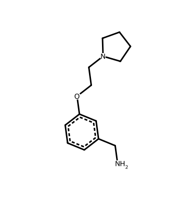 NCc1cccc(OCCN2CCCC2)c1